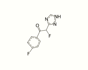 O=C(c1ccc(F)cc1)C(F)c1nc[nH]n1